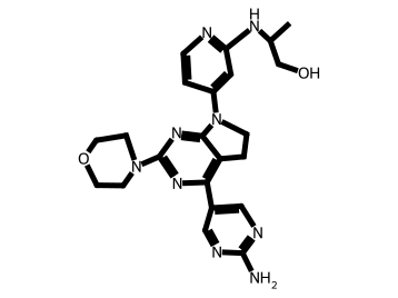 CC(CO)Nc1cc(N2CCc3c(-c4cnc(N)nc4)nc(N4CCOCC4)nc32)ccn1